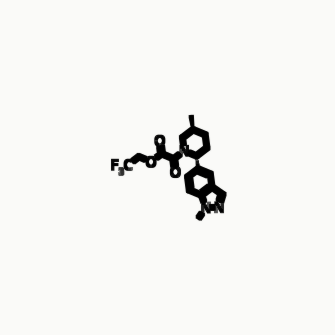 C[C@H]1CC[C@H](c2ccc3c(cnn3C)c2)N(C(=O)C(=O)OCC(F)(F)F)C1